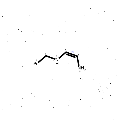 CC(C)CN/C=C\N